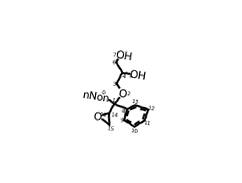 CCCCCCCCCC(OCC(O)CO)(c1ccccc1)C1CO1